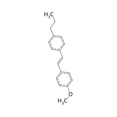 CCCc1ccc(C=Cc2ccc(OC)cc2)cc1